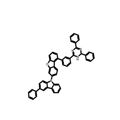 c1ccc(C2=NC(c3ccccc3)NC(c3cccc(-c4cccc5oc6cc(-n7c8ccccc8c8cc(-c9ccccc9)ccc87)ccc6c45)c3)=N2)cc1